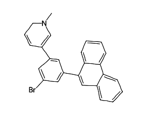 CN1C=C(c2cc(Br)cc(-c3cc4ccccc4c4ccccc34)c2)C=CC1